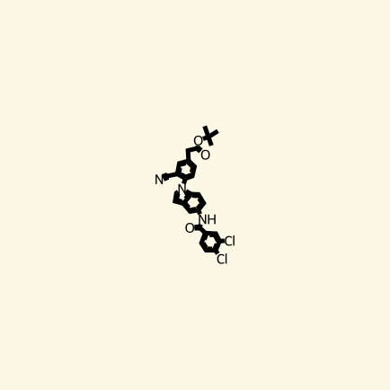 CC(C)(C)OC(=O)Cc1ccc(-n2ccc3cc(NC(=O)c4ccc(Cl)c(Cl)c4)ccc32)c(C#N)c1